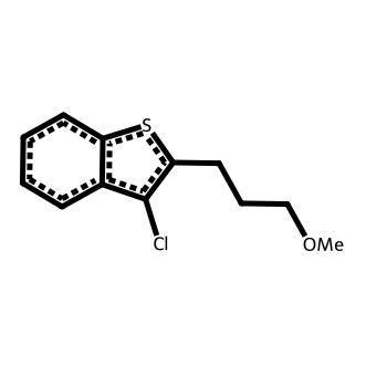 COCCCc1sc2ccccc2c1Cl